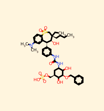 CCCC[C@]1(CC)CS(=O)(=O)c2ccc(N(C)C)cc2[C@@H](c2cccc(NC(=O)N[C@@H]3C[C@H](COS(=O)(=O)O)C(O)[C@H](OCc4ccccc4)C3O)c2)[C@H]1O